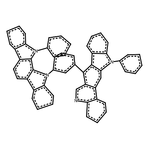 c1ccc(-n2c3ccccc3c3c(-c4cccc(-n5c6ccccc6c6ccc7c8ccccc8n(-c8ccccc8)c7c65)c4)c4cnc5ccccc5c4cc32)cc1